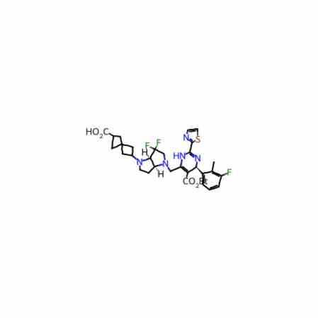 CCOC(=O)C1=C(CN2CC(F)(F)[C@H]3[C@@H]2CCN3C2CC3(CC(C(=O)O)C3)C2)NC(c2nccs2)=N[C@H]1c1cccc(F)c1C